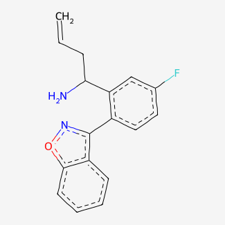 C=CCC(N)c1cc(F)ccc1-c1noc2ccccc12